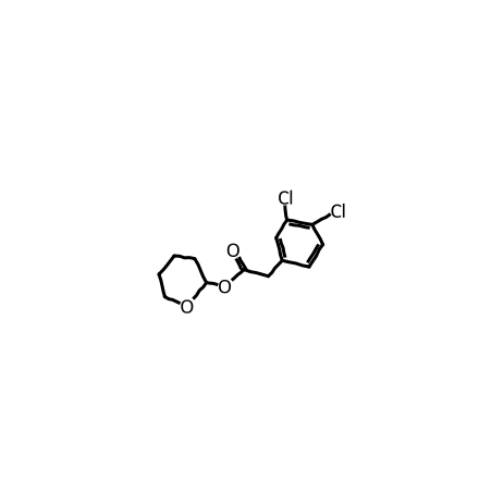 O=C(Cc1ccc(Cl)c(Cl)c1)OC1CCCCO1